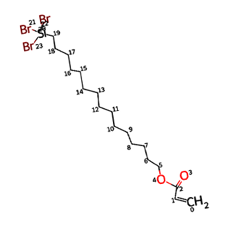 C=CC(=O)OCCCCCCCCCCCCCCC[Si](Br)(Br)Br